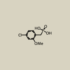 COc1cc(Cl)ccc1CP(=O)(O)O